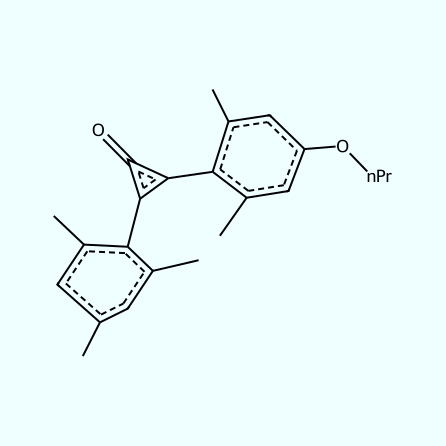 CCCOc1cc(C)c(-c2c(-c3c(C)cc(C)cc3C)c2=O)c(C)c1